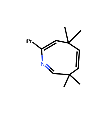 CC(C)C1=C/C(C)(C)/C=C\C(C)(C)/C=N\1